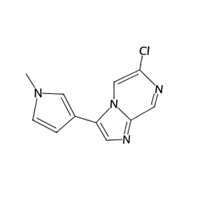 Cn1ccc(-c2cnc3cnc(Cl)cn23)c1